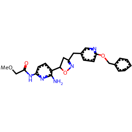 COCC(=O)Nc1ccc(C2CC(Cc3ccc(OCc4ccccc4)nc3)=NO2)c(N)n1